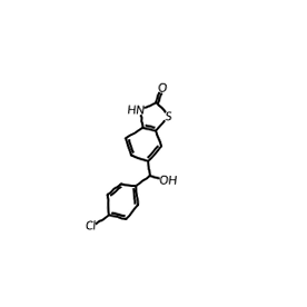 O=c1[nH]c2ccc(C(O)c3ccc(Cl)cc3)cc2s1